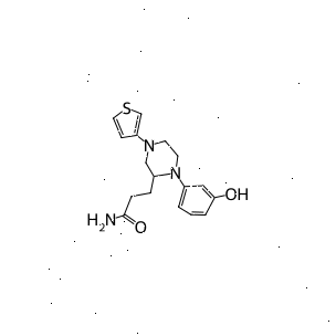 NC(=O)CCC1CN(c2ccsc2)CCN1c1cccc(O)c1